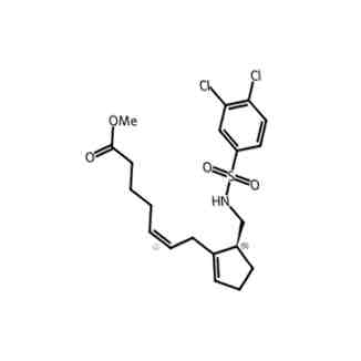 COC(=O)CCC/C=C\CC1=CCC[C@@H]1CNS(=O)(=O)c1ccc(Cl)c(Cl)c1